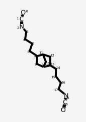 O=C=NCCCCC1CC2CC1CC2CCCCN=C=O